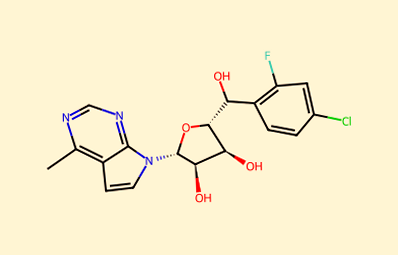 Cc1ncnc2c1ccn2[C@@H]1O[C@H](C(O)c2ccc(Cl)cc2F)[C@@H](O)[C@H]1O